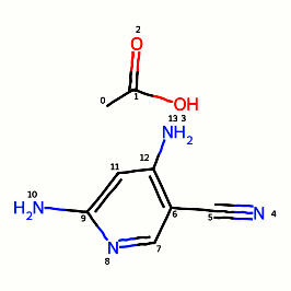 CC(=O)O.N#Cc1cnc(N)cc1N